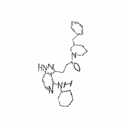 O=C(CCc1n[nH]c2ccnc(NC3CCCCC3)c12)N1CCCC(Cc2ccccc2)C1